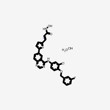 Cl.O.O=C(/C=C/c1ccc(-c2ccc3ncnc(Nc4ccc(OCc5cccc(F)c5)c(Cl)c4)c3c2)s1)NO